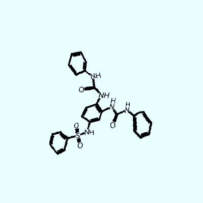 O=C(Nc1ccccc1)Nc1ccc(NS(=O)(=O)c2ccccc2)cc1NC(=O)Nc1ccccc1